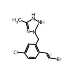 CC1=NN(Cc2cc(Cl)ccc2/C=C/Br)NN1